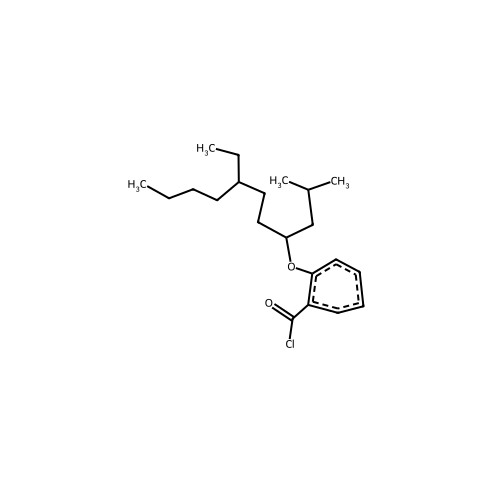 CCCCC(CC)CCC(CC(C)C)Oc1ccccc1C(=O)Cl